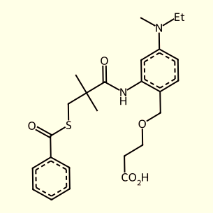 CCN(C)c1ccc(COCCC(=O)O)c(NC(=O)C(C)(C)CSC(=O)c2ccccc2)c1